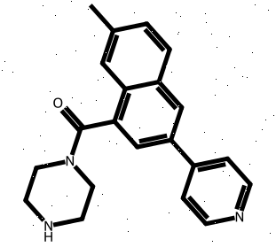 Cc1ccc2cc(-c3ccncc3)cc(C(=O)N3CCNCC3)c2c1